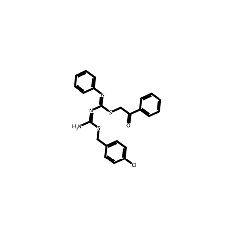 N/C(=N/C(=N\c1ccccc1)SCC(=O)c1ccccc1)SCc1ccc(Cl)cc1